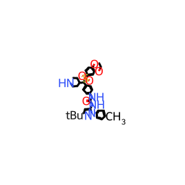 Cc1ccc(-n2nc(C(C)(C)C)cc2NC(=O)Nc2ccc(C(C3CCNCC3)S(=O)(=O)c3ccc4c(c3)OCCO4)cc2)cc1